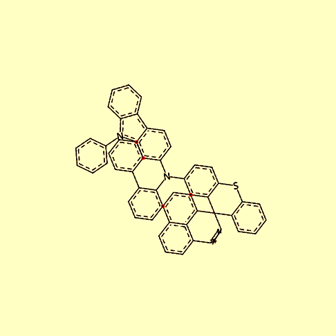 c1ccc(-c2ccccc2N(c2ccc3c(c2)C2(c4ccccc4S3)c3ccccc3-c3cccc4cccc2c34)c2ccc3c4ccccc4n(-c4ccccc4)c3c2)cc1